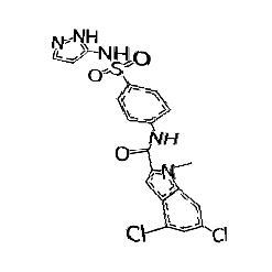 Cn1c(C(=O)Nc2ccc(S(=O)(=O)Nc3ccn[nH]3)cc2)cc2c(Cl)cc(Cl)cc21